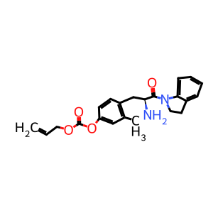 C=CCOC(=O)Oc1ccc(C[C@H](N)C(=O)N2CCc3ccccc32)c(C)c1